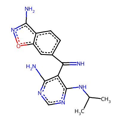 CC(C)Nc1ncnc(N)c1C(=N)c1ccc2c(N)noc2c1